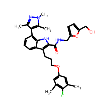 Cc1cc(OCCCc2c(C(=O)NCc3ccc(CO)o3)[nH]c3c(-c4c(C)nn(C)c4C)cccc23)cc(C)c1Cl